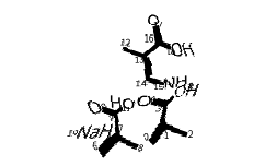 C=C(C)C(=O)O.C=C(C)C(=O)O.CC(=CN)C(=O)O.[NaH]